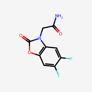 NC(=O)Cn1c(=O)oc2cc(F)c(F)cc21